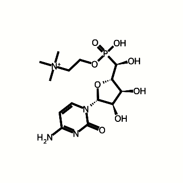 C[N+](C)(C)CCOP(=O)(O)[C@@H](O)[C@H]1O[C@@H](n2ccc(N)nc2=O)[C@H](O)[C@@H]1O